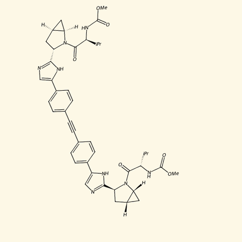 COC(=O)N[C@H](C(=O)N1[C@@H]2C[C@@H]2C[C@H]1c1ncc(-c2ccc(C#Cc3ccc(-c4cnc([C@@H]5C[C@H]6C[C@H]6N5C(=O)[C@@H](NC(=O)OC)C(C)C)[nH]4)cc3)cc2)[nH]1)C(C)C